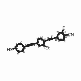 CCc1cc(C#Cc2ccc(S)cc2)ccc1C#Cc1ccc(C#N)c(F)c1